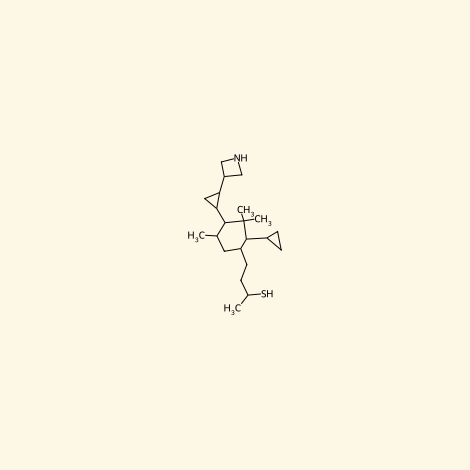 CC(S)CCC1CC(C)C(C2CC2C2CNC2)C(C)(C)C1C1CC1